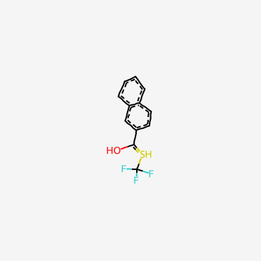 OC(=[SH]C(F)(F)F)c1ccc2ccccc2c1